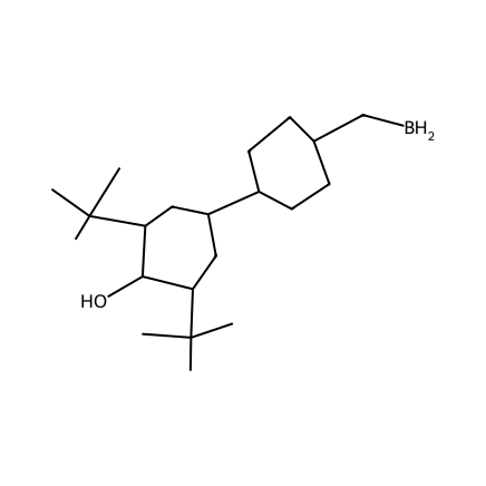 BCC1CCC(C2CC(C(C)(C)C)C(O)C(C(C)(C)C)C2)CC1